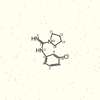 N=C(Nc1cccc(Cl)c1)N1CCCC1